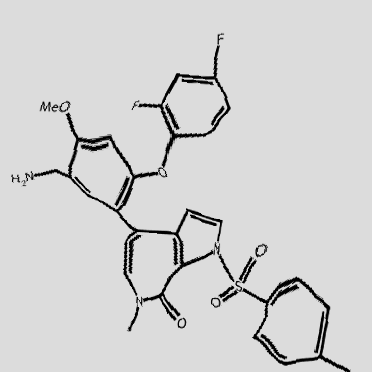 COc1cc(Oc2ccc(F)cc2F)c(-c2cn(C)c(=O)c3c2ccn3S(=O)(=O)c2ccc(C)cc2)cc1N